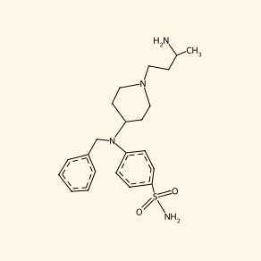 CC(N)CCN1CCC(N(Cc2ccccc2)c2ccc(S(N)(=O)=O)cc2)CC1